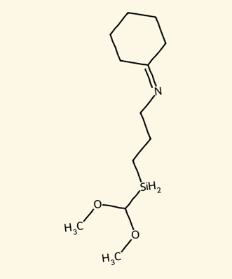 COC(OC)[SiH2]CCCN=C1CCCCC1